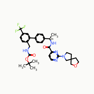 C[C@@H](NC(=O)c1ccnc(N2CCC3(CCOC3)C2)n1)c1ccc(-c2cc(C(F)(F)F)ccc2CNC(=O)OC(C)(C)C)cc1